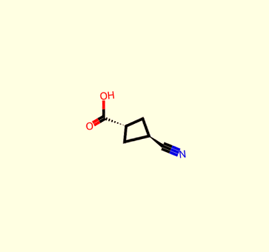 N#C[C@H]1C[C@H](C(=O)O)C1